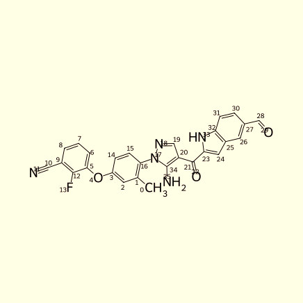 Cc1cc(Oc2cccc(C#N)c2F)ccc1-n1ncc(C(=O)c2cc3cc(C=O)ccc3[nH]2)c1N